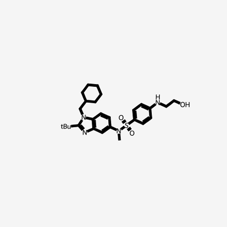 CN(c1ccc2c(c1)nc(C(C)(C)C)n2CC1CCCCC1)S(=O)(=O)c1ccc(NCCO)cc1